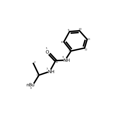 CCCCC(C)NC(=O)Nc1ccccc1